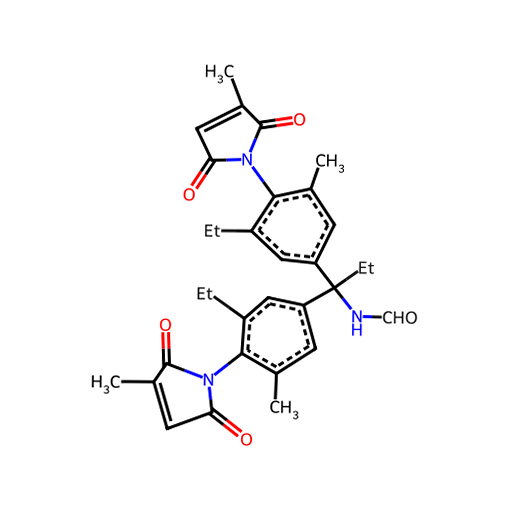 CCc1cc(C(CC)(NC=O)c2cc(C)c(N3C(=O)C=C(C)C3=O)c(CC)c2)cc(C)c1N1C(=O)C=C(C)C1=O